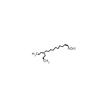 C=CCN(CC=C)CCCCCCCC/C=C\CCCCCCCC